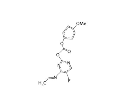 C/C=N/c1nc(OC(=O)Oc2ccc(OC)cc2)ncc1F